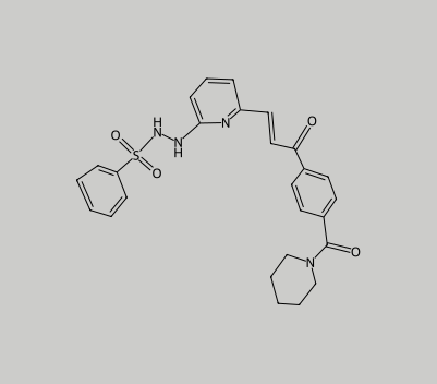 O=C(C=Cc1cccc(NNS(=O)(=O)c2ccccc2)n1)c1ccc(C(=O)N2CCCCC2)cc1